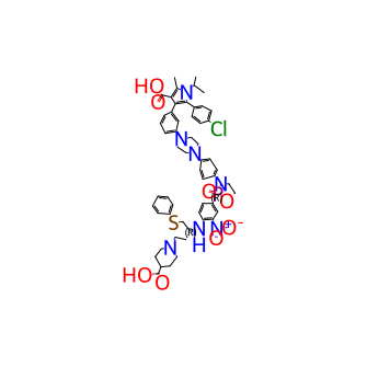 Cc1c(C(=O)O)c(-c2cccc(N3CCN(c4ccc(N5CCO[P@]5(=O)c5ccc(N[C@H](CCN6CCC(C(=O)O)CC6)CSc6ccccc6)c([N+](=O)[O-])c5)cc4)CC3)c2)c(-c2ccc(Cl)cc2)n1C(C)C